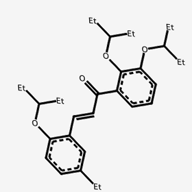 CCc1ccc(OC(CC)CC)c(C=CC(=O)c2cccc(OC(CC)CC)c2OC(CC)CC)c1